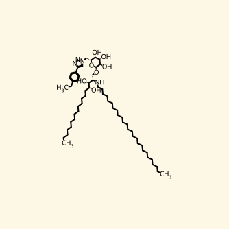 CCCCCCCCCCCCCCCCCCCCCCCCCCN[C@@H](CO[C@H]1O[C@H](Cn2cc(-c3ccc(CC)cc3)nn2)[C@H](O)[C@H](O)[C@H]1O)[C@H](O)[C@H](O)CCCCCCCCCCCCCC